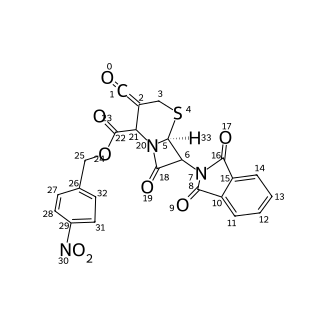 O=C=C1CS[C@H]2C(N3C(=O)c4ccccc4C3=O)C(=O)N2C1C(=O)OCc1ccc([N+](=O)[O-])cc1